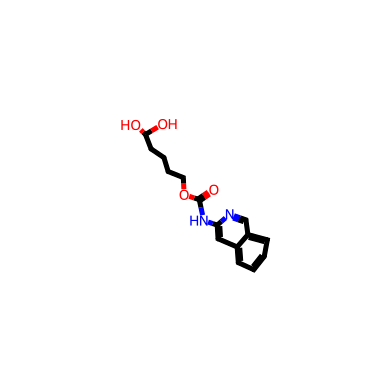 O=C(Nc1cc2ccccc2cn1)OCCCCC(O)O